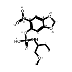 CCC(COC)NP(O)(=S)Oc1cc2c(cc1[N+](=O)[O-])OCO2